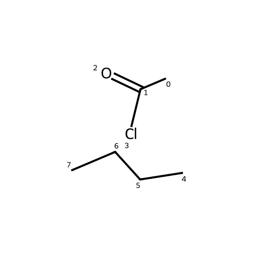 CC(=O)Cl.CCCC